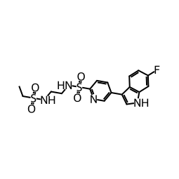 CCS(=O)(=O)NCCNS(=O)(=O)c1ccc(-c2c[nH]c3cc(F)ccc23)cn1